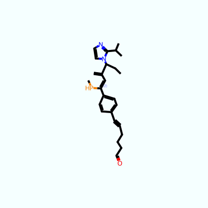 C=C(/C=C(\PC)c1ccc(C#CCCCC=O)cc1)C(CC)n1ccnc1C(C)C